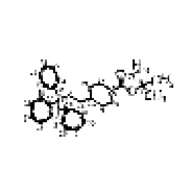 CC(C)(C)OC(=O)N1CCC(CC[PH](c2ccccc2)(c2ccccc2)c2ccccc2)CC1